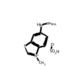 CCCCCNc1ccc2c(c1)sc[n+]2C.O=S(=O)([O-])O